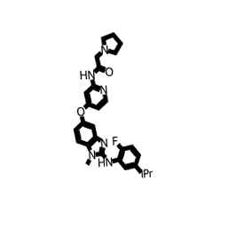 CC(C)c1ccc(F)c(Nc2nc3cc(Oc4ccnc(NC(=O)CN5CCCC5)c4)ccc3n2C)c1